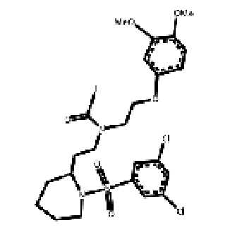 COc1ccc(OCCN(CCC2CCCCN2S(=O)(=O)c2cc(Cl)cc(Cl)c2)C(=O)I)cc1OC